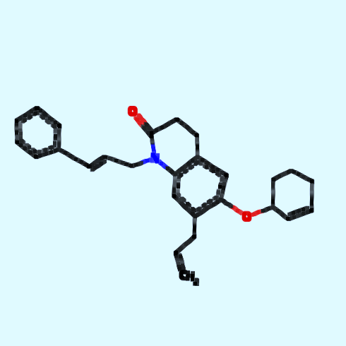 C=CCc1cc2c(cc1OC1C=CCCC1)CCC(=O)N2CC=Cc1ccccc1